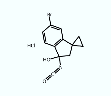 Cl.O=C=NC1(O)CC2(CC2)c2cc(Br)ccc21